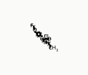 CCCCn1ncc(OCc2ccc(COCCF)cc2)c(Cl)c1=O